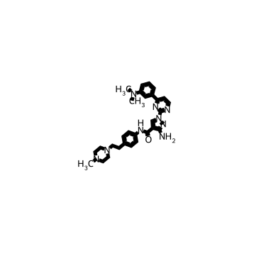 CN1CCN(CCc2ccc(NC(=O)c3cn(-c4nccc(-c5cccc(N(C)C)c5)n4)nc3N)cc2)CC1